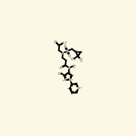 CCN(C(=O)CCN(CC(F)F)S(=O)(=O)CC1CC1(Cl)Cl)c1cn(-c2cccnc2)nc1Cl